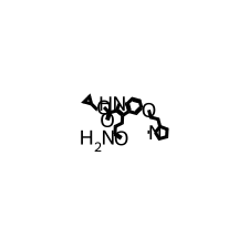 CN1CCCC1CCOc1ccc2[nH]c(C(=O)OCC3CC3)c(CCC(N)=O)c2c1